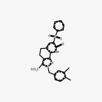 CCOC(=O)c1c2c(nn1Cc1ccc(C)c(C)c1)-c1[nH]c(=O)c(S(=O)(=O)c3ccccc3)cc1CC2